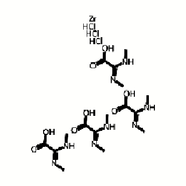 CN=C(NC)C(=O)O.CN=C(NC)C(=O)O.CN=C(NC)C(=O)O.CN=C(NC)C(=O)O.Cl.Cl.Cl.[Zr]